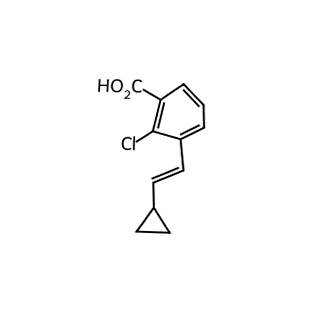 O=C(O)c1cccc(C=CC2CC2)c1Cl